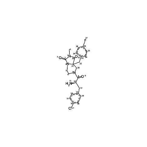 CN1C(=O)N2CCN(C(=O)[C@H](N)Cc3ccc(Cl)cc3)CC2(Cc2ccc(F)cc2)C1=O